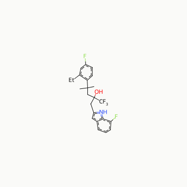 CCc1cc(F)ccc1C(C)(C)CC(O)(Cc1cc2cccc(F)c2[nH]1)C(F)(F)F